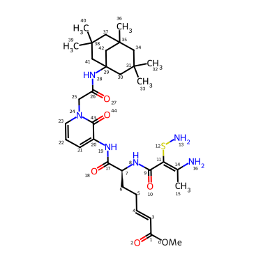 COC(=O)/C=C/CC[C@H](NC(=O)/C(SN)=C(\C)N)C(=O)Nc1cccn(CC(=O)NC23CC(C)(C)CC(C)(CC(C)(C)C2)C3)c1=O